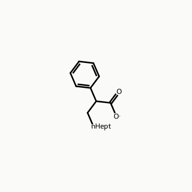 CCCCCCCCC(C([O])=O)c1ccccc1